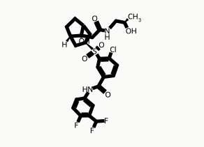 C[C@@H](O)CNC(=O)C[C@@]1(O)C2CC[C@H]1C[C@H](S(=O)(=O)c1cc(C(=O)Nc3ccc(F)c(C(F)F)c3)ccc1Cl)C2